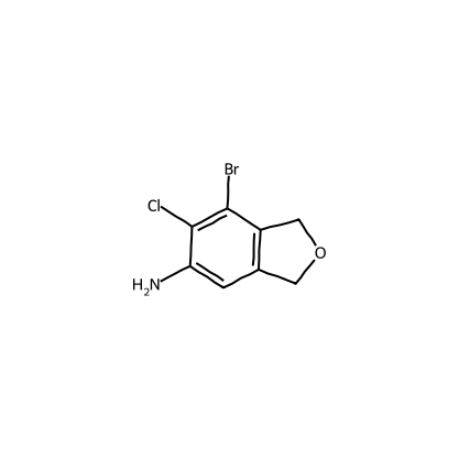 Nc1cc2c(c(Br)c1Cl)COC2